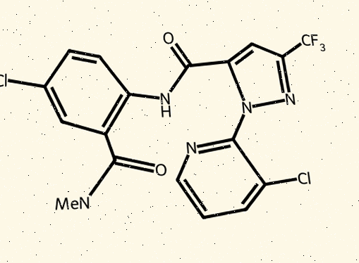 CNC(=O)c1cc(Cl)ccc1NC(=O)c1cc(C(F)(F)F)nn1-c1ncccc1Cl